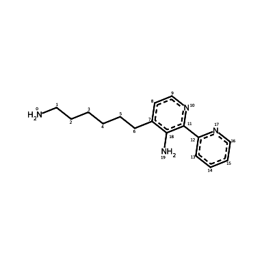 NCCCCCCc1ccnc(-c2ccccn2)c1N